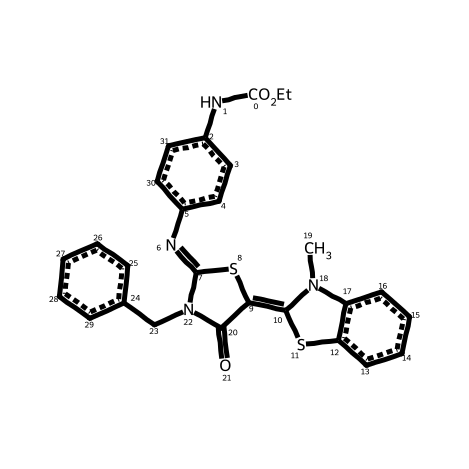 CCOC(=O)Nc1ccc(N=C2SC(=C3Sc4ccccc4N3C)C(=O)N2Cc2ccccc2)cc1